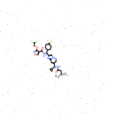 C[C@H](CC(=O)N[C@@H](c1cnn2cc([C@@H](NC(=O)c3conc3OCC(F)F)C3CCC(F)(F)CC3)nc2c1)C1CC1)C(F)(F)F